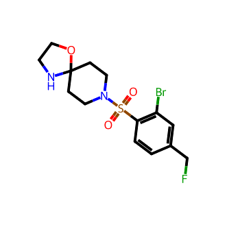 O=S(=O)(c1ccc(CF)cc1Br)N1CCC2(CC1)NCCO2